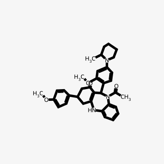 COc1ccc(C2CC(=O)C3=C(C2)Nc2ccccc2N(C(C)=O)C3c2ccc(N3CCCCC3C)cc2OC)cc1